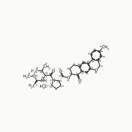 C=C(N[C@H](C(=O)N1[C@@H](C)CC[C@H]1C(=O)OC1CCc2cc3c(cc2C1=O)OCc1cc(C)ccc1-3)C(C)C)OC